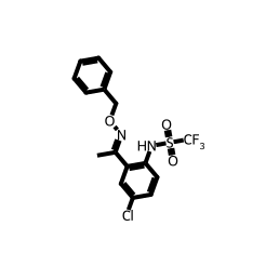 C/C(=N\OCc1ccccc1)c1cc(Cl)ccc1NS(=O)(=O)C(F)(F)F